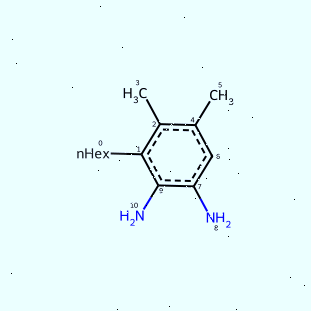 CCCCCCc1c(C)c(C)cc(N)c1N